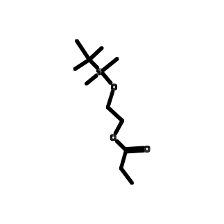 CCC(=O)OCCO[Si](C)(C)C(C)(C)C